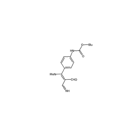 CN/C(=C(\C=N)C=O)c1ccc(NC(=O)OC(C)(C)C)cc1